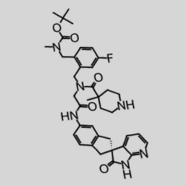 CN(Cc1ccc(F)cc1CN(CC(=O)Nc1ccc2c(c1)C[C@@]1(C2)C(=O)Nc2ncccc21)C(=O)C1(C)CCNCC1)C(=O)OC(C)(C)C